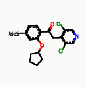 CSc1ccc(C(=O)Cc2c(Cl)cncc2Cl)c(OC2CCCC2)c1